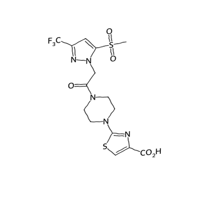 CS(=O)(=O)c1cc(C(F)(F)F)nn1CC(=O)N1CCN(c2nc(C(=O)O)cs2)CC1